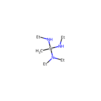 CCN[Si](C)(NCC)N(CC)CC